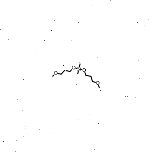 COCCCO[Si](C)(C)OCCCOC